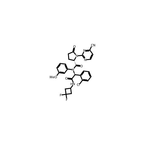 COc1cccc(N(C(=O)[C@@H]2CCC(=O)N2c2nccc(C#N)n2)[C@H](C(=O)NC2CC(F)(F)C2)c2ccccc2Cl)c1